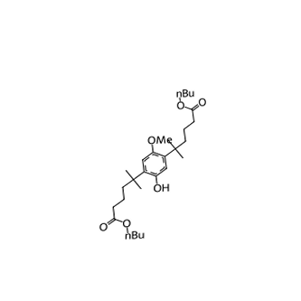 CCCCOC(=O)CCCC(C)(C)c1cc(OC)c(C(C)(C)CCCC(=O)OCCCC)cc1O